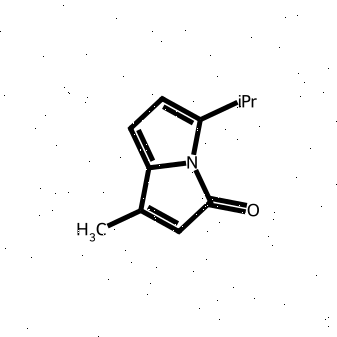 CC1=CC(=O)n2c1ccc2C(C)C